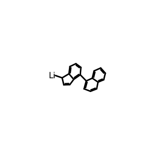 [Li][CH]1C=Cc2c(-c3cccc4ccccc34)cccc21